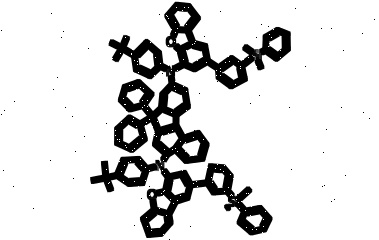 CC(C)(C)c1ccc(N(c2ccc3c(c2)C(c2ccccc2)(c2ccccc2)c2cc(N(c4ccc(C(C)(C)C)cc4)c4cc(-c5cccc([Si](C)(C)c6ccccc6)c5)cc5c4oc4ccccc45)c4ccccc4c2-3)c2cc(-c3cccc([Si](C)(C)c4ccccc4)c3)cc3c2oc2ccccc23)cc1